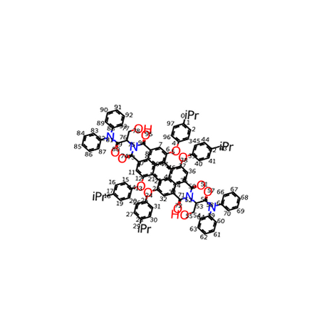 CC(C)c1ccc(Oc2cc3c4c(cc(Oc5ccc(C(C)C)cc5)c5c6c(Oc7ccc(C(C)C)cc7)cc7c8c(cc(Oc9ccc(C(C)C)cc9)c(c2c45)c86)C(=O)N(C(CO)C(=O)N(c2ccccc2)c2ccccc2)C7=O)C(=O)N(C(CO)C(=O)N(c2ccccc2)c2ccccc2)C3=O)cc1